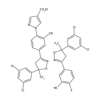 CCOC(=O)c1cnn(-c2ccc(C3=NOC(c4cc(Cl)cc(Cl)c4)(C(F)(F)F)C3)cc2C#N)c1.N#Cc1cc(C2=NOC(c3cc(Cl)cc(Cl)c3)(C(F)(F)F)C2)ccc1F